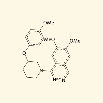 COc1ccc(OC2CCCN(c3nncc4cc(OC)c(OC)cc34)C2)cc1